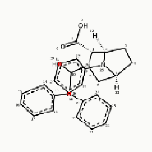 O=C(O)[C@@H]1[C@H]2CC[C@@H](CN1C(O)N(c1ccccc1)c1ccccc1)N2c1ccccc1